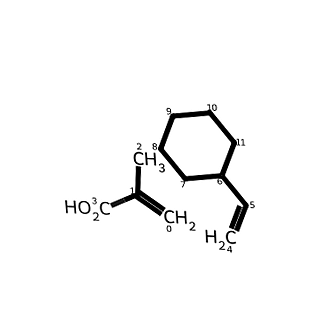 C=C(C)C(=O)O.C=CC1CCCCC1